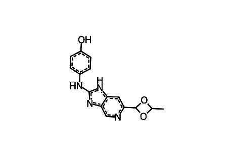 CC1OC(c2cc3[nH]c(Nc4ccc(O)cc4)nc3cn2)O1